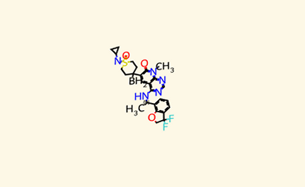 BC1(c2cc3c(N[C@H](C)c4cccc5c4OCC5(F)F)ncnc3n(C)c2=O)CCS(=O)(=NC2CC2)CC1